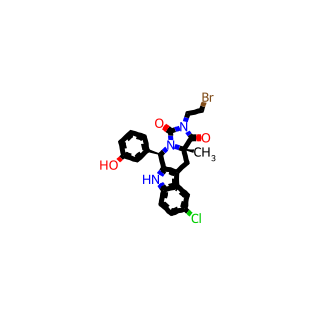 C[C@@]12Cc3c([nH]c4ccc(Cl)cc34)[C@@H](c3cccc(O)c3)N1C(=O)N(CCBr)C2=O